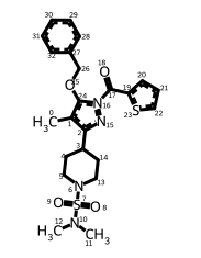 Cc1c(C2CCN(S(=O)(=O)N(C)C)CC2)nn(C(=O)c2cccs2)c1OCc1ccccc1